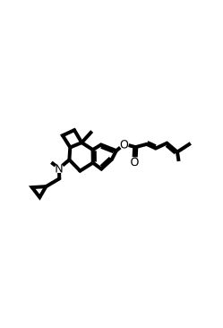 CC(C)=C/C=C/C(=O)Oc1ccc2c(c1)C1(C)CCC1C(N(C)CC1CC1)C2